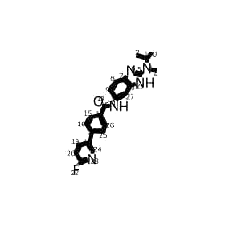 CC(C)N(C)c1nc2ccc(NC(=O)c3ccc(-c4ccc(F)nc4)cc3)cc2[nH]1